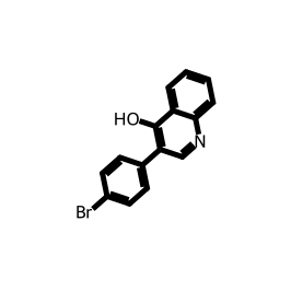 Oc1c(-c2ccc(Br)cc2)cnc2ccccc12